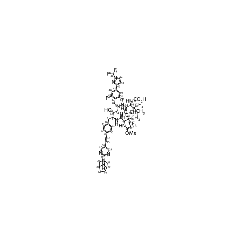 COC(=O)NC(C(=O)NC(Cc1ccc(C#Cc2cnc(N3CC4CCC(C3)N4)nc2)cc1)C(O)CN(Cc1c(F)cc(-c2ccn(C(F)F)n2)cc1F)NC(=O)C(NC(=O)O)C(C)(C)C(F)(F)F)C(C)(C)C(F)(F)F